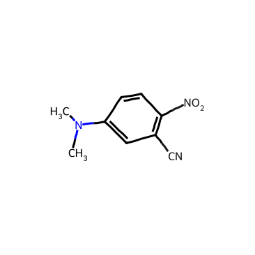 CN(C)c1ccc([N+](=O)[O-])c(C#N)c1